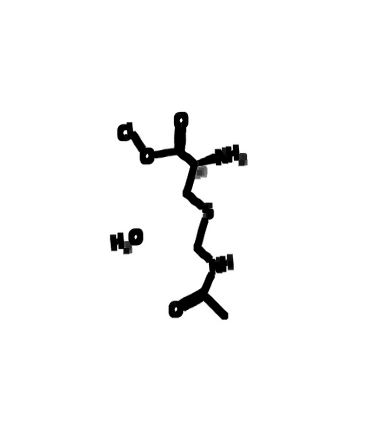 CC(=O)NCSC[C@H](N)C(=O)OCl.O